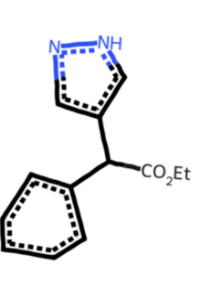 CCOC(=O)C(c1ccccc1)c1cn[nH]c1